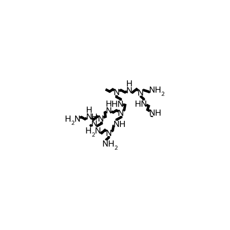 CCCN(CCNCCN(CCN)CCNCCNC)CCNCCN(CCNCCN(CCN)CCN)CCNCCN(CCNC)CCNCCN